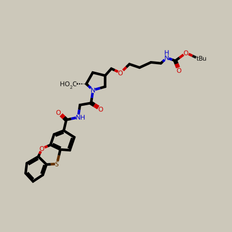 CC(C)(C)OC(=O)NCCCCOCC1C[C@@H](C(=O)O)N(C(=O)CNC(=O)c2ccc3c(c2)Oc2ccccc2S3)C1